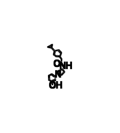 O=C(Cc1ccc(C2CC2)cc1)NC1CCN(c2cccc(O)c2)C1